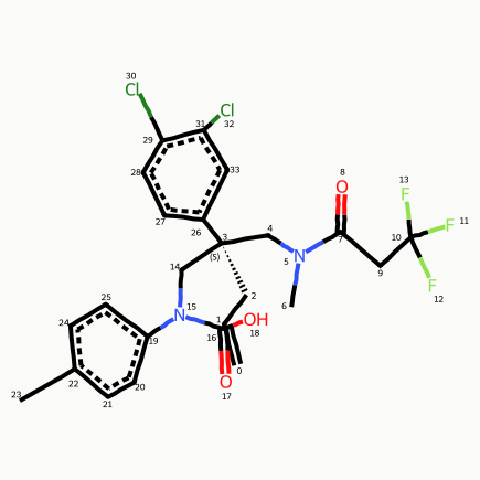 C=CC[C@](CN(C)C(=O)CC(F)(F)F)(CN(C(=O)O)c1ccc(C)cc1)c1ccc(Cl)c(Cl)c1